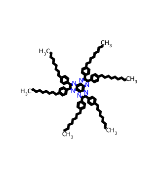 CCCCCCCCCc1ccc(-c2nc3c4nc(-c5ccc(CCCCCCCCC)cc5)c(-c5ccc(CCCCCCCCC)cc5)nc4c4nc(-c5ccc(CCCCCCCCC)cc5)c(-c5ccc(CCCCCCCCC)cc5)nc4c3nc2-c2ccc(CCCCCCCCC)cc2)cc1